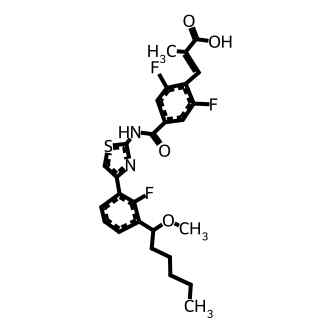 CCCCCC(OC)c1cccc(-c2csc(NC(=O)c3cc(F)c(/C=C(\C)C(=O)O)c(F)c3)n2)c1F